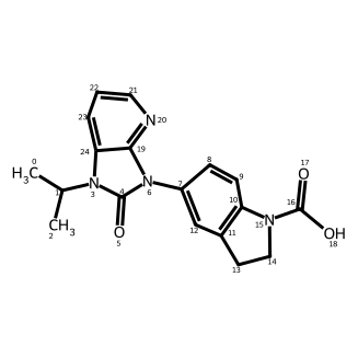 CC(C)n1c(=O)n(-c2ccc3c(c2)CCN3C(=O)O)c2ncccc21